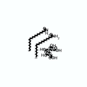 CCCCCCCC/C=C\CCCCCCCCCCCC(N)=O.CCCCCCCC/C=C\CCCCCCCCCCCC(N)=O.O=C(O)CN(CCN(CC(=O)O)CC(=O)O)CCN(CC(=O)O)CC(=O)O